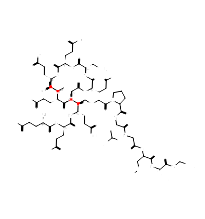 CCNC(=O)[C@H](C)NC(=O)C(CSC)NC(=O)CNC(=O)[C@H](CC(C)C)NC(=O)C1CCCN1C(=O)COCCNC(=O)[C@@H](CCC(=O)O)NC(=O)[C@@H](CCC(=O)O)NC(=O)[C@@H](CCC(=O)O)NC(=O)[C@@H](CC)NC(=O)[C@@H](CCC(=O)O)NC(=O)[C@@H](CCC(=O)O)NC(=O)[C@@H](CCC(=O)O)NC(=O)[C@@H](CCC(=O)O)NC(=O)[C@H](N)CCC(=O)O